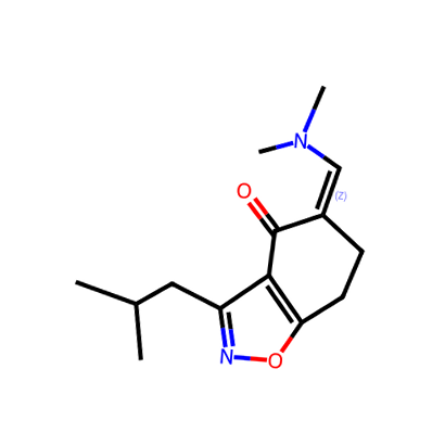 CC(C)Cc1noc2c1C(=O)/C(=C\N(C)C)CC2